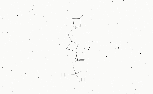 CC(C)(C)OC(=O)N1CC(CN2CC(F)C2)C1